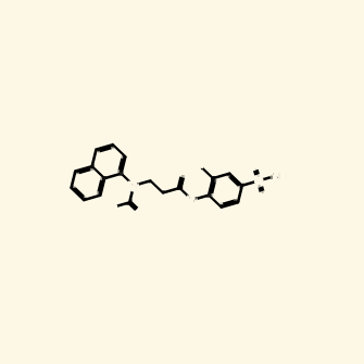 NS(=O)(=O)c1ccc(NC(=O)CCN(C(=O)S)c2cccc3ccccc23)c(Cl)c1